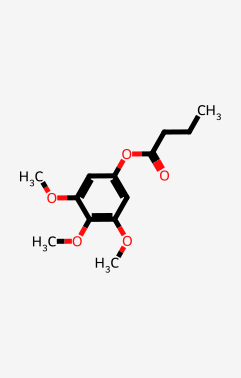 CCCC(=O)Oc1cc(OC)c(OC)c(OC)c1